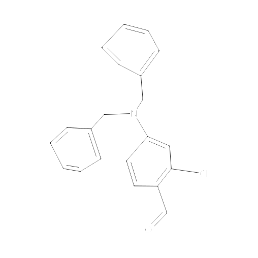 O=Cc1ccc(N(Cc2ccccc2)Cc2ccccc2)cc1Cl